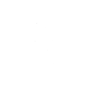 CCOCCCOc1cccc(C=O)c1